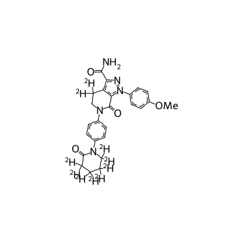 [2H]C1([2H])CN(c2ccc(N3C(=O)C([2H])([2H])C([2H])([2H])C([2H])([2H])C3([2H])[2H])cc2)C(=O)c2c1c(C(N)=O)nn2-c1ccc(OC)cc1